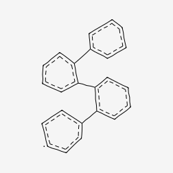 [c]1ccc(-c2ccccc2-c2ccccc2-c2ccccc2)cc1